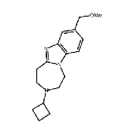 COCc1ccc2c(c1)nc1n2CCN(C2CCC2)CC1